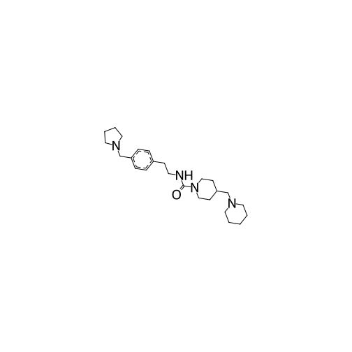 O=C(NCCc1ccc(CN2CCCC2)cc1)N1CCC(CN2CCCCC2)CC1